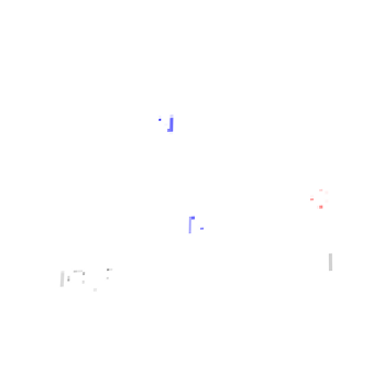 CCOc1cn(C)c(C)n1.CS(=O)(=O)O